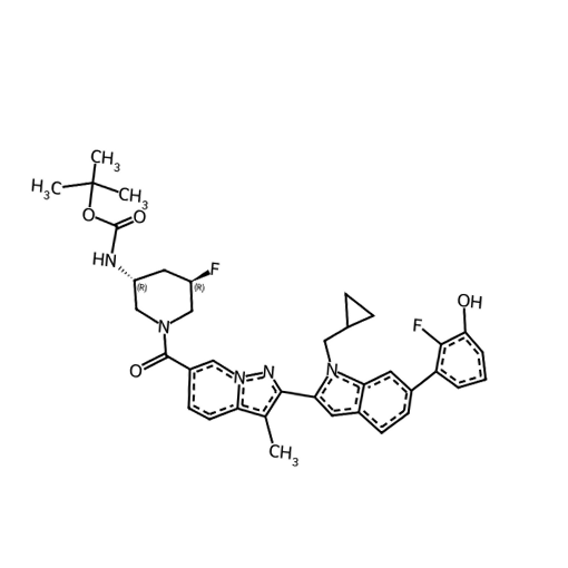 Cc1c(-c2cc3ccc(-c4cccc(O)c4F)cc3n2CC2CC2)nn2cc(C(=O)N3C[C@H](F)C[C@@H](NC(=O)OC(C)(C)C)C3)ccc12